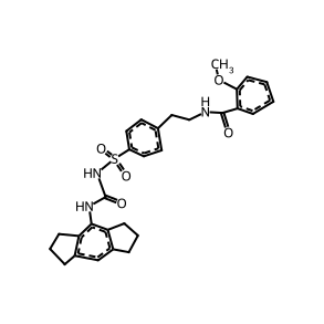 COc1ccccc1C(=O)NCCc1ccc(S(=O)(=O)NC(=O)Nc2c3c(cc4c2CCC4)CCC3)cc1